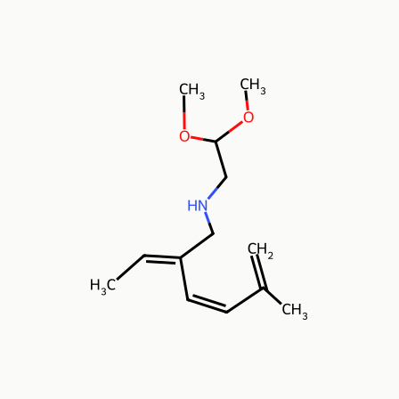 C=C(C)/C=C\C(=C/C)CNCC(OC)OC